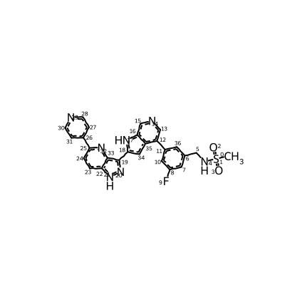 CS(=O)(=O)NCc1cc(F)cc(-c2cncc3[nH]c(-c4n[nH]c5ccc(-c6ccncc6)nc45)cc23)c1